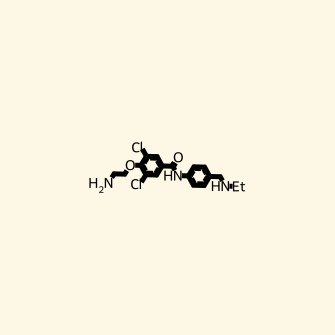 CCNCc1ccc(NC(=O)c2cc(Cl)c(OCCN)c(Cl)c2)cc1